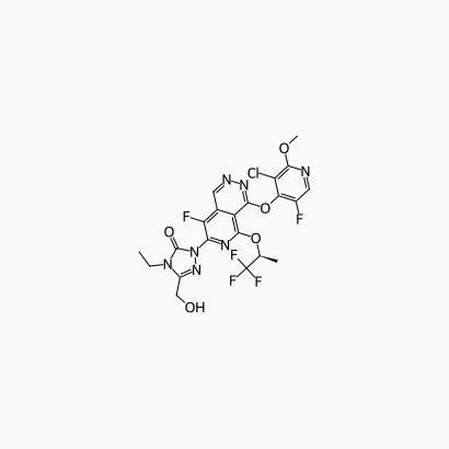 CCn1c(CO)nn(-c2nc(O[C@@H](C)C(F)(F)F)c3c(Oc4c(F)cnc(OC)c4Cl)nncc3c2F)c1=O